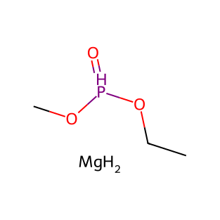 CCO[PH](=O)OC.[MgH2]